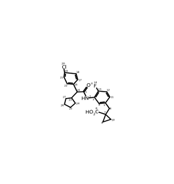 O=C(Nc1cc(CC2(C(=O)O)CC2)ccc1F)C(c1ccc(Cl)cc1)C1CCCC1